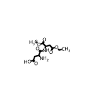 CCOC(=O)CC(NC(=O)C(N)CC(=O)O)C(=O)OC